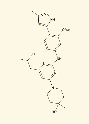 COc1cc(Nc2nc(CC(C)O)cc(N3CCC(C)(O)CC3)n2)ccc1-c1nc(C)c[nH]1